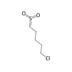 O=S(=O)=CCCCCCl